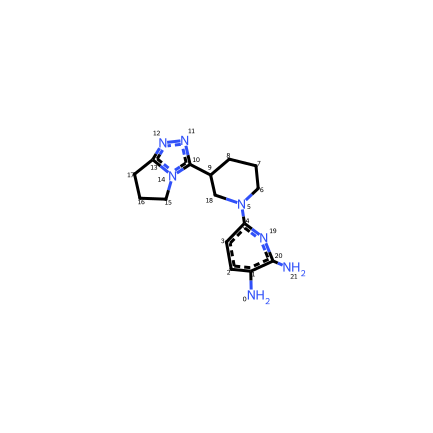 Nc1ccc(N2CCCC(c3nnc4n3CCC4)C2)nc1N